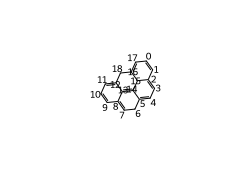 C1=CC2=CC=C3CC=c4cccc5c4=C3C2C(=C1)C5